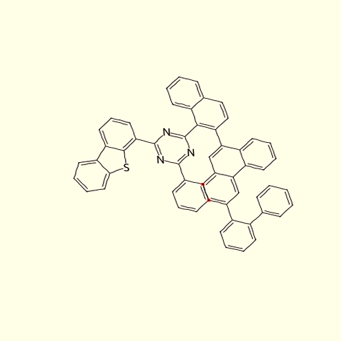 c1ccc(-c2nc(-c3c(-c4cc5ccc(-c6ccccc6-c6ccccc6)cc5c5ccccc45)ccc4ccccc34)nc(-c3cccc4c3sc3ccccc34)n2)cc1